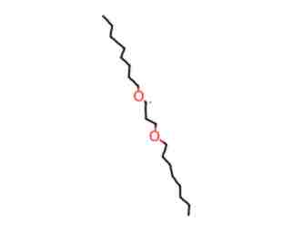 CCCCCCCCO[CH]CCOCCCCCCCC